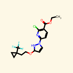 CCOC(=O)c1ccc(N2C=CC(OCCC3(C(F)(F)F)CC3)N2)nc1Cl